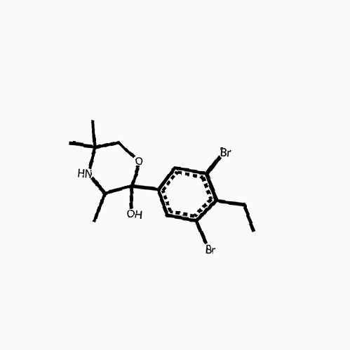 CCc1c(Br)cc(C2(O)OCC(C)(C)NC2C)cc1Br